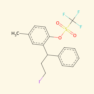 Cc1ccc(OS(=O)(=O)C(F)(F)F)c(C(CCI)c2ccccc2)c1